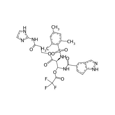 Cc1cc(C)c(S(=O)(=O)N[C@H](C(=O)OCCC(=O)Nc2ncc[nH]2)C(NC(=O)c2ccc3[nH]ncc3c2)OC(=O)C(F)(F)F)c(C)c1